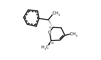 CC1=C[C@@H](C)O[C@H](C(C)c2ccccc2)C1